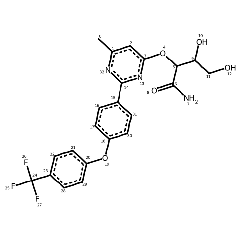 Cc1cc(OC(C(N)=O)C(O)CO)nc(-c2ccc(Oc3ccc(C(F)(F)F)cc3)cc2)n1